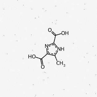 Cc1[nH]c(C(=O)O)nc1C(=O)O